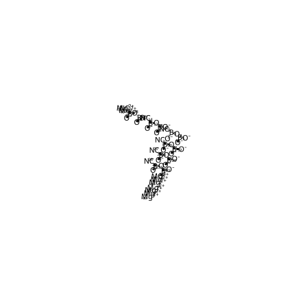 N#CB([O-])OB([O-])[O-].N#CB([O-])OB([O-])[O-].N#CB([O-])OB([O-])[O-].N#CB([O-])OB([O-])[O-].N#CB([O-])OB([O-])[O-].N#CB([O-])OB([O-])[O-].[Mg+2].[Mg+2].[Mg+2].[Mg+2].[Mg+2].[Mg+2].[Mg+2].[Mg+2].[Mg+2]